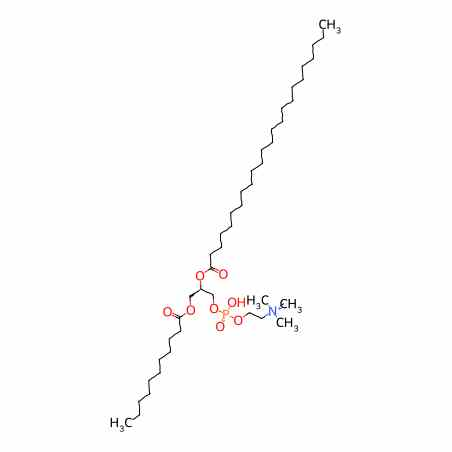 CCCCCCCCCCCCCCCCCCCCCCCC(=O)O[C@H](COC(=O)CCCCCCCCCC)COP(=O)(O)OCC[N+](C)(C)C